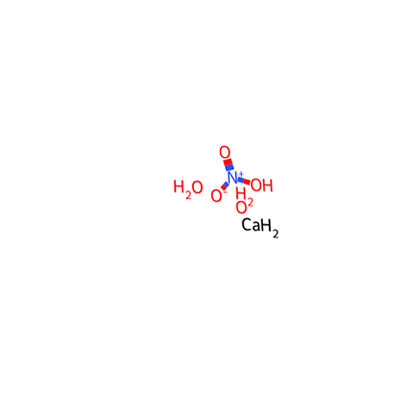 O.O.O=[N+]([O-])O.[CaH2]